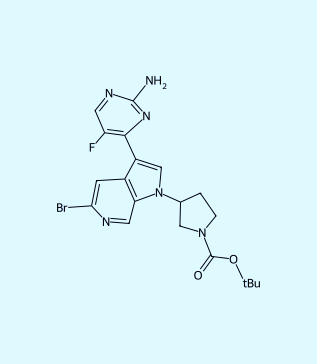 CC(C)(C)OC(=O)N1CCC(n2cc(-c3nc(N)ncc3F)c3cc(Br)ncc32)C1